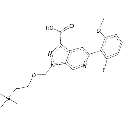 COc1cccc(F)c1-c1cc2c(C(=O)O)nn(COCC[Si](C)(C)C)c2cn1